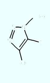 CCCCCCn1nnc(C(F)(F)F)c1CC